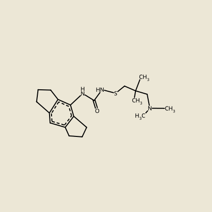 CN(C)CC(C)(C)CSNC(=O)Nc1c2c(cc3c1CCC3)CCC2